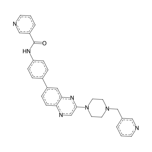 O=C(Nc1ccc(-c2ccc3ncc(N4CCN(Cc5cccnc5)CC4)nc3c2)cc1)c1cccnc1